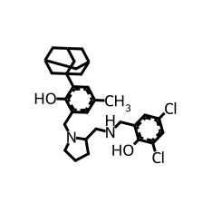 Cc1cc(CN2CCCC2CNCc2cc(Cl)cc(Cl)c2O)c(O)c(C23CC4CC(CC(C4)C2)C3)c1